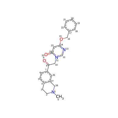 CN1CCc2ccc(C(=O)Cn3cnc(OCc4ccccc4)cc3=O)cc2C1